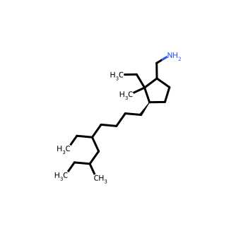 CCC(C)CC(CC)CCCC[C@@H]1CCC(CN)C1(C)CC